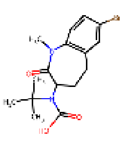 CN1C(=O)C(N(C(=O)O)C(C)(C)C)CCc2cc(Br)ccc21